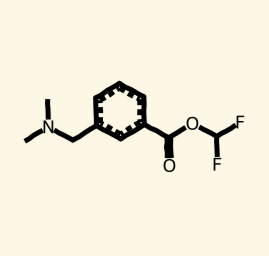 CN(C)Cc1cccc(C(=O)OC(F)F)c1